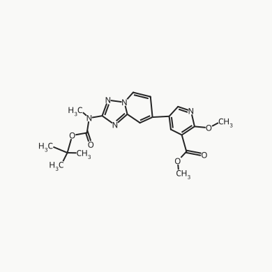 COC(=O)c1cc(-c2ccn3nc(N(C)C(=O)OC(C)(C)C)nc3c2)cnc1OC